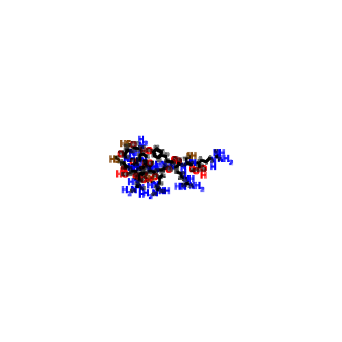 N=C(N)NCCC[C@H](NC(=O)[C@H](CS)NC(=O)[C@H](CCCNC(=N)N)NC(=O)[C@H](Cc1ccc(O)cc1)NC(=O)[C@H](CCCNC(=N)N)NC(=O)[C@H](CS)NC(=O)[C@H](CCCNC(=N)N)NC(=O)[C@@H]1CCCN1C(=O)[C@H](CC(=O)O)NC(=O)[C@H](CO)NC(=O)[C@H](CS)NC(=O)[C@H](CS)NC(=O)CN)C(=O)O